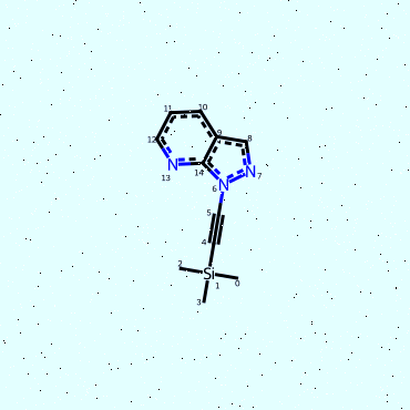 C[Si](C)(C)C#Cn1ncc2cccnc21